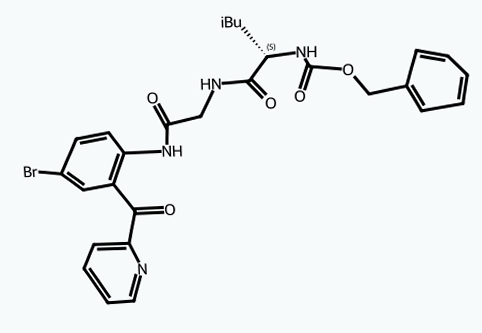 CCC(C)[C@H](NC(=O)OCc1ccccc1)C(=O)NCC(=O)Nc1ccc(Br)cc1C(=O)c1ccccn1